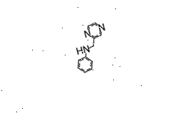 c1ccc(NCc2cnccn2)cc1